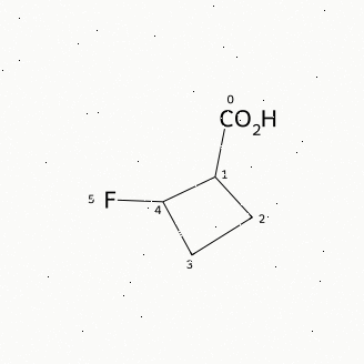 O=C(O)C1CCC1F